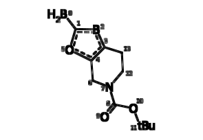 Bc1bc2c(o1)CN(C(=O)OC(C)(C)C)CC2